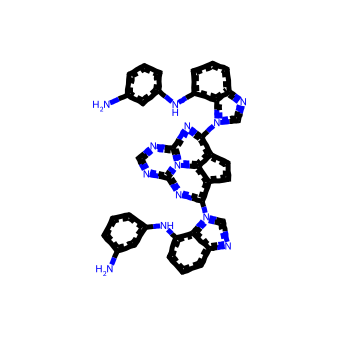 Nc1cccc(Nc2cccc3ncn(-c4nc5ncnc6nc(-n7cnc8cccc(Nc9cccc(N)c9)c87)c7ccc4c7n56)c23)c1